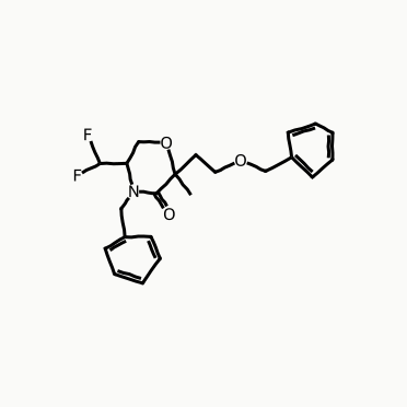 CC1(CCOCc2ccccc2)OCC(C(F)F)N(Cc2ccccc2)C1=O